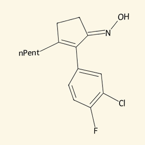 CCCCCC1=C(c2ccc(F)c(Cl)c2)/C(=N/O)CC1